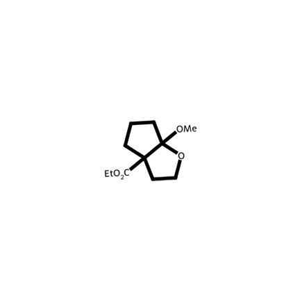 CCOC(=O)C12CCCC1(OC)OCC2